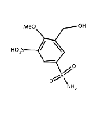 COc1c(CO)cc(S(N)(=O)=O)cc1S(=O)(=O)O